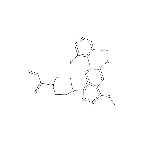 C=CC(=O)N1CCN(c2nnc(OC)c3cc(Cl)c(-c4c(O)cccc4F)cc23)CC1